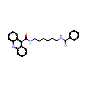 O=C(NCCCCCCNC(=O)c1c2ccccc2nc2ccccc12)c1ccccc1